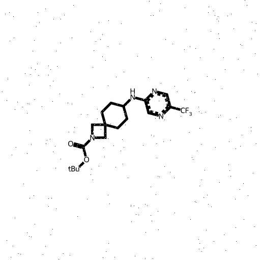 CC(C)(C)OC(=O)N1CC2(CCC(Nc3cnc(C(F)(F)F)cn3)CC2)C1